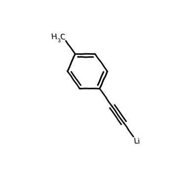 [Li][C]#Cc1ccc(C)cc1